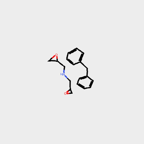 C(NCC1CO1)C1CO1.c1ccc(Cc2ccccc2)cc1